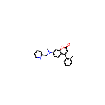 Cc1ccccc1-c1cc(=O)oc2cc(N(C)Cc3ccccn3)ccc12